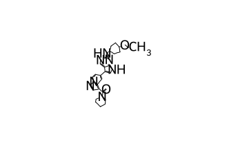 CCO[C@H]1CC[C@@H](Nc2ncc3c(-c4ccn5ncc(C(=O)N6CCCCC6)c5c4)c[nH]c3n2)CC1